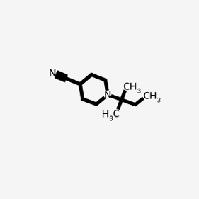 CCC(C)(C)N1CCC(C#N)CC1